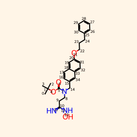 CC(C)(C)OC(=O)N(CCC(=N)NO)Cc1ccc2cc(OCCCc3ccccc3)ccc2c1